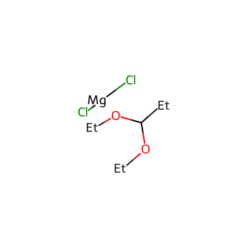 [CH2]CC(OCC)OCC.[Cl][Mg][Cl]